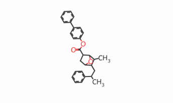 CC(CC1C2CC(C(=O)Oc3ccc(-c4ccccc4)cc3)C(O2)C1C)c1ccccc1